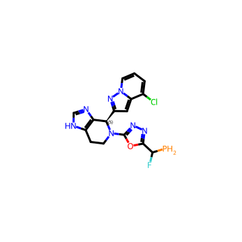 FC(P)c1nnc(N2CCc3[nH]cnc3[C@H]2c2cc3c(Cl)cccn3n2)o1